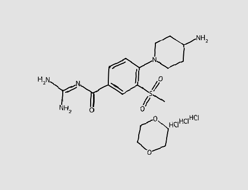 C1COCCO1.CS(=O)(=O)c1cc(C(=O)N=C(N)N)ccc1N1CCC(N)CC1.Cl.Cl.Cl